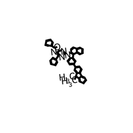 CC1(C)c2ccccc2-c2ccc(-c3ccc4c(c3)c3c5ccccc5ccc3n4-c3nc(-c4ccccc4)c4nc(-c5ccccc5)oc4n3)cc21